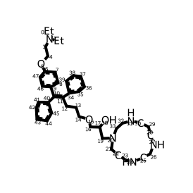 CCN(CC)CCOc1ccc(C(=C(CCCOCC(O)CN2CCCNCCNCCCNCC2)c2ccccc2)c2ccccc2)cc1